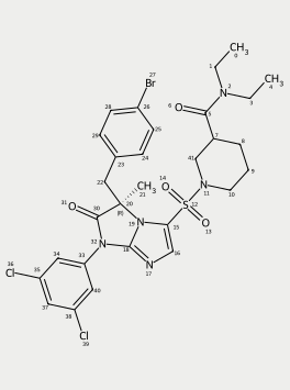 CCN(CC)C(=O)C1CCCN(S(=O)(=O)c2cnc3n2[C@](C)(Cc2ccc(Br)cc2)C(=O)N3c2cc(Cl)cc(Cl)c2)C1